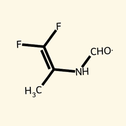 CC(N[C]=O)=C(F)F